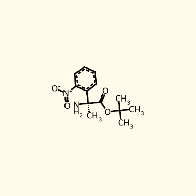 CC(C)(C)OC(=O)[C@@](C)(N)c1ccccc1[N+](=O)[O-]